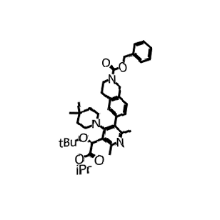 Cc1nc(C)c([C@H](OC(C)(C)C)C(=O)OC(C)C)c(N2CCC(C)(C)CC2)c1-c1ccc2c(c1)CCN(C(=O)OCc1ccccc1)C2